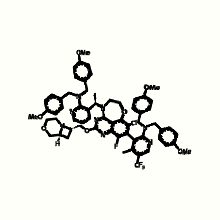 COc1ccc(CN(Cc2ccc(OC)cc2)c2ncccc2[C@@H](C)N2CCOc3c(Cl)c(-c4c(N(Cc5ccc(OC)cc5)Cc5ccc(OC)cc5)ncc(C(F)(F)F)c4C)c(F)c4nc(OC[C@@H]5C[C@H]6COCCN65)nc2c34)cc1